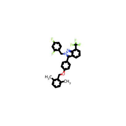 Cc1cccc(C)c1COc1ccc(-c2c3cccc(C(F)(F)F)c3nn2Cc2ccc(F)cc2F)cc1